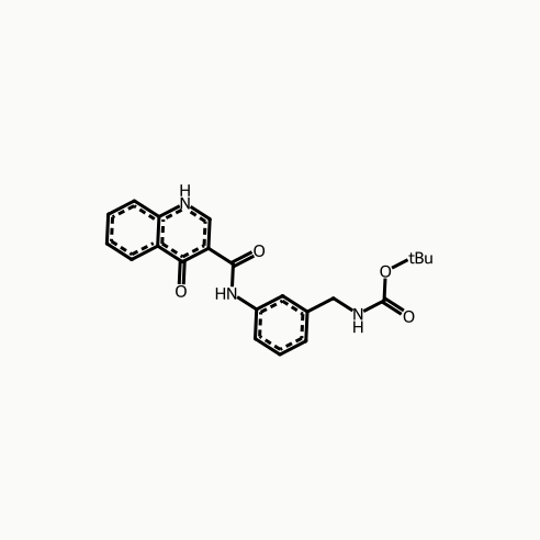 CC(C)(C)OC(=O)NCc1cccc(NC(=O)c2c[nH]c3ccccc3c2=O)c1